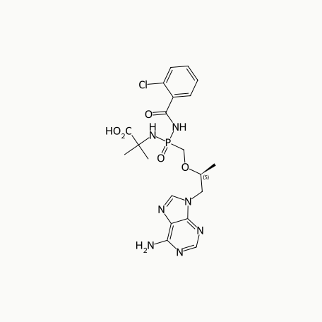 C[C@@H](Cn1cnc2c(N)ncnc21)OCP(=O)(NC(=O)c1ccccc1Cl)NC(C)(C)C(=O)O